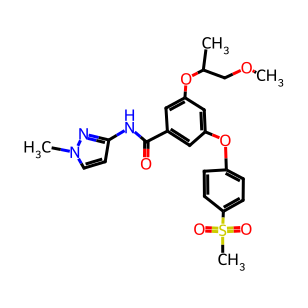 COCC(C)Oc1cc(Oc2ccc(S(C)(=O)=O)cc2)cc(C(=O)Nc2ccn(C)n2)c1